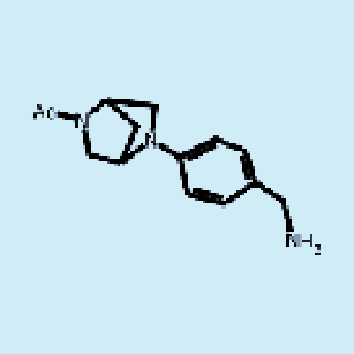 CC(=O)N1CC2CC1CN2c1ccc(CN)cc1